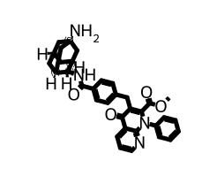 COC(=O)c1c(Cc2ccc(C(=O)N[C@H]3[C@@H]4C[C@@H]5C[C@H]3C[C@@](N)(C5)C4)cc2)c(=O)c2cccnc2n1-c1ccccc1